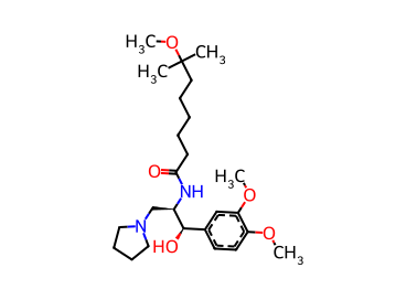 COc1ccc([C@@H](O)[C@@H](CN2CCCC2)NC(=O)CCCCCC(C)(C)OC)cc1OC